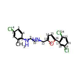 Cc1cc(Cl)ccc1NCCNCc1ccc(-c2cc(Cl)ccc2Cl)o1